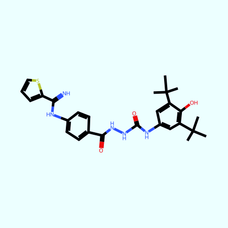 CC(C)(C)c1cc(NC(=O)NNC(=O)c2ccc(NC(=N)c3cccs3)cc2)cc(C(C)(C)C)c1O